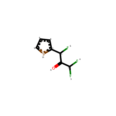 O=C(C(F)F)C(F)c1cccs1